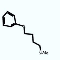 COCCCCSc1ccccc1